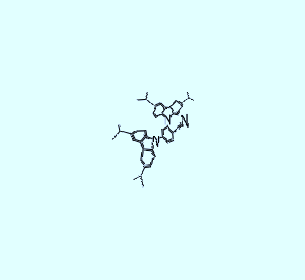 CC(C)c1ccc2c(c1)c1cc(C(C)C)ccc1n2-c1ccc(C#N)c(-n2c3ccc(C(C)C)cc3c3cc(C(C)C)ccc32)c1